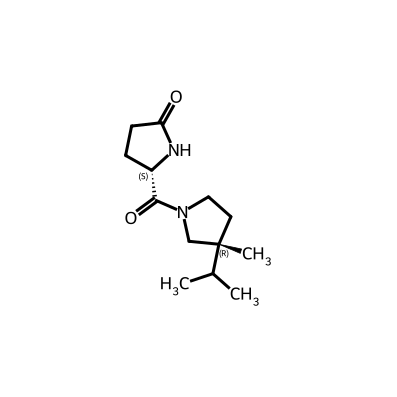 CC(C)[C@@]1(C)CCN(C(=O)[C@@H]2CCC(=O)N2)C1